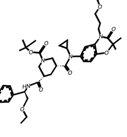 CCOC[C@H](NC(=O)[C@H]1C[C@@H](C(=O)N(c2ccc3c(c2)N(CCCOC)C(=O)C(C)(C)O3)C2CC2)CN(C(=O)OC(C)(C)C)C1)c1ccccc1